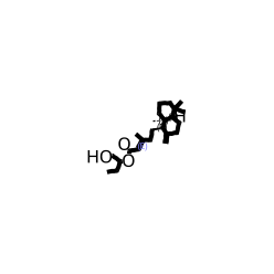 C=C1CC[C@@H]2C(C)(C)CCC[C@]2(C)[C@@H]1CC/C(C)=C/C(=O)OC(CC)CO